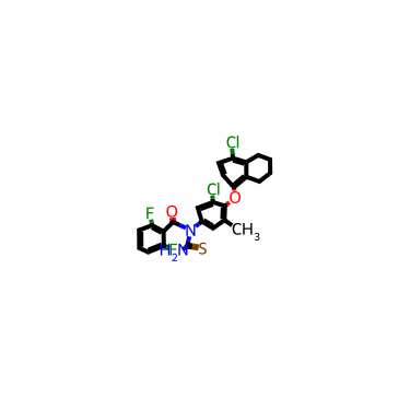 Cc1cc(N(C(=O)c2c(F)cccc2F)C(N)=S)cc(Cl)c1Oc1ccc(Cl)c2c1CCCC2